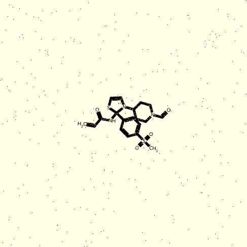 C=CC(=O)NC1(c2ccc(S(C)(=O)=O)cc2)SC=CN1C1CCN(C=O)CC1